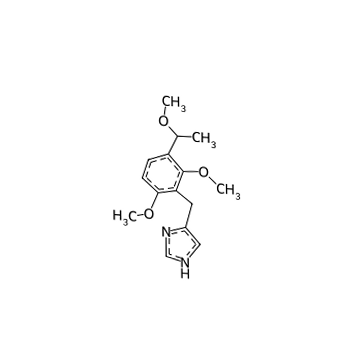 COc1ccc(C(C)OC)c(OC)c1Cc1c[nH]cn1